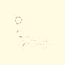 CC(=O)O[C@H]1CC[C@@]2(C)C(CC[C@]3(C)[C@@H]2CC[C@@H]2C4=C(C(C)C)CC[C@]4(C(=O)CN(Cc4ccc(Cl)cc4)C(=O)OC(C)(C)C)CC[C@]23C)C1(C)C